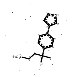 CCOC(=O)CCC(C)(Cl)c1ccc(-c2ccoc2)cc1